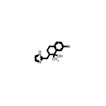 CC1(O)c2cc(Br)ccc2CCC1Cc1ncc[nH]1